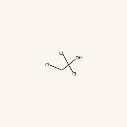 OC(Cl)(Cl)CCl